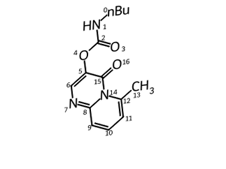 CCCCNC(=O)Oc1cnc2cccc(C)n2c1=O